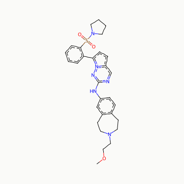 COCCN1CCc2ccc(Nc3ncc4ccc(-c5ccccc5S(=O)(=O)N5CCCC5)n4n3)cc2CC1